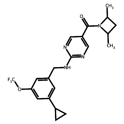 CC1CC(C)N1C(=O)c1cnc(NCc2cc(OC(F)(F)F)cc(C3CC3)c2)nc1